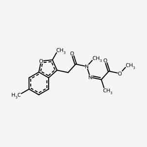 COC(=O)C(C)=NN(C)C(=O)Cc1c(C)oc2cc(C)ccc12